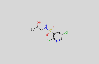 CCC(O)CNS(=O)(=O)c1cc(Cl)cnc1Cl